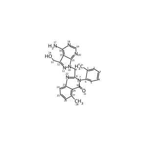 Cc1ccccc1-n1c(Cn2nc(CO)c3c(N)ncnc32)nc2cccc(C)c2c1=O